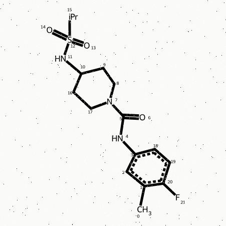 Cc1cc(NC(=O)N2CCC(NS(=O)(=O)C(C)C)CC2)ccc1F